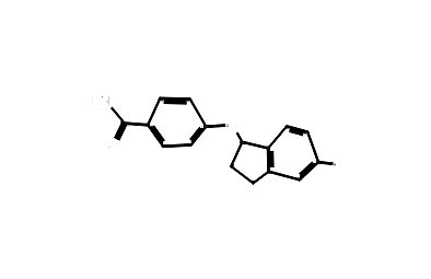 NC(=O)c1ccc(OC2CCc3cc(Cl)ccc32)cc1